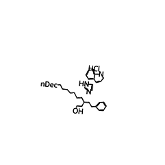 CCCCCCCCCCCCCCCCCC(CCO)CCc1ccccc1.Cl.c1c[nH]cn1.c1ccc2ncccc2c1